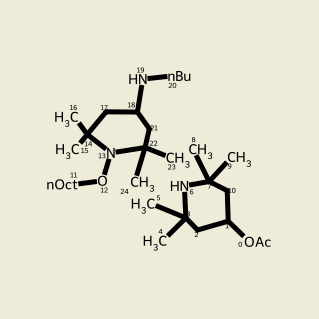 CC(=O)OC1CC(C)(C)NC(C)(C)C1.CCCCCCCCON1C(C)(C)CC(NCCCC)CC1(C)C